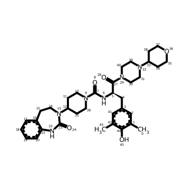 Cc1cc(C[C@@H](NC(=O)N2CCC(N3CCc4ccccc4NC3=O)CC2)C(=O)N2CCN(C3CCOCC3)CC2)cc(C)c1O